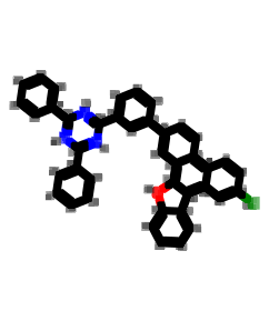 Clc1ccc2c3ccc(-c4cccc(-c5nc(-c6ccccc6)nc(-c6ccccc6)n5)c4)cc3c3oc4ccccc4c3c2c1